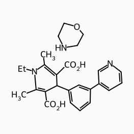 C1COCCN1.CCN1C(C)=C(C(=O)O)C(c2cccc(-c3cccnc3)c2)C(C(=O)O)=C1C